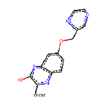 CCCCCc1nc2ccc(OCc3cnccn3)cc2nc1O